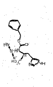 O=C(N[C@@H](Cc1c[nH]cn1)C(=O)O)OCc1ccccc1.[N-]=[N+]=N